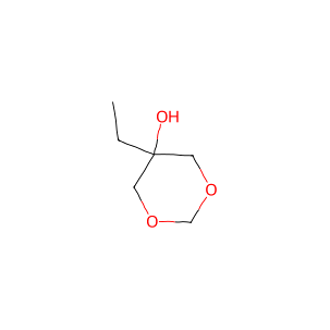 CCC1(O)COCOC1